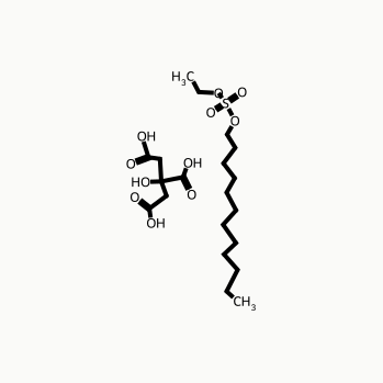 CCCCCCCCCCCCOS(=O)(=O)OCC.O=C(O)CC(O)(CC(=O)O)C(=O)O